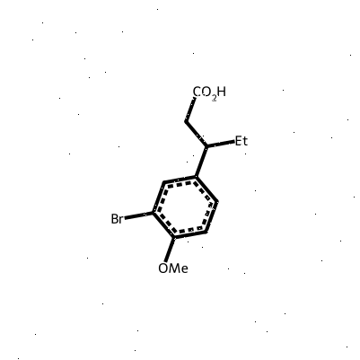 CCC(CC(=O)O)c1ccc(OC)c(Br)c1